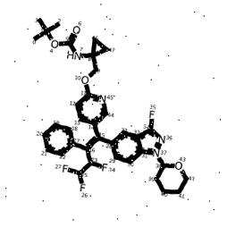 CC(C)(C)OC(=O)NC1(COc2ccc(C(=C(c3ccccc3)C(F)C(F)F)c3ccc4c(c3)c(F)nn4C3CCCCO3)cn2)CC1